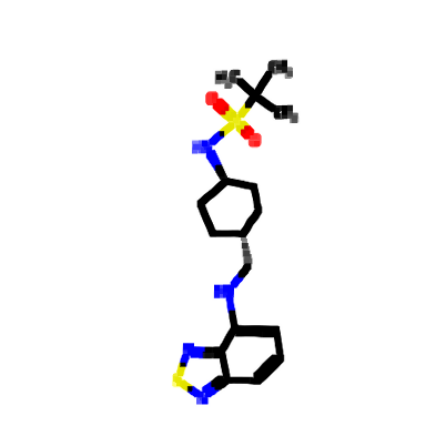 CC(C)(C)S(=O)(=O)N[C@H]1CC[C@H](CNc2cccc3nsnc23)CC1